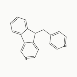 c1ccc2c(c1)-c1cnccc1C2Cc1ccncc1